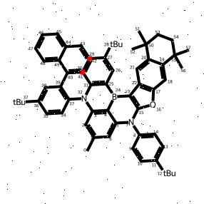 Cc1cc2c3c(c1)N(c1ccc(C(C)(C)C)cc1)c1oc4cc5c(cc4c1B3c1cc(C(C)(C)C)ccc1N2c1ccc(C(C)(C)C)cc1-c1cccc2ccccc12)C(C)(C)CCC5(C)C